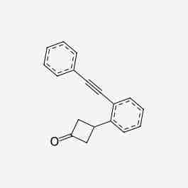 O=C1CC(c2ccccc2C#Cc2ccccc2)C1